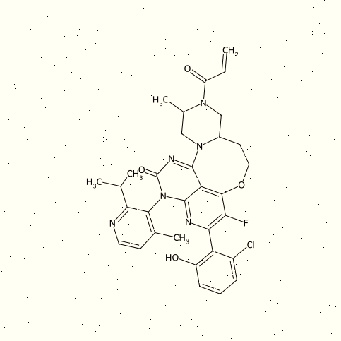 C=CC(=O)N1CC2CCOc3c(F)c(-c4c(O)cccc4Cl)nc4c3c(nc(=O)n4-c3c(C)ccnc3C(C)C)N2CC1C